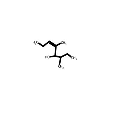 CC/C=C(/C)C(O)C(C)CC